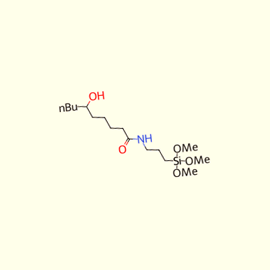 CCCCC(O)CCCCC(=O)NCCC[Si](OC)(OC)OC